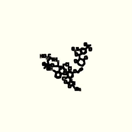 C#CCOc1cc(-n2nc(C(C)(C)C)oc2=O)c(Cl)cc1Cl.CCc1cccc(C)c1N(C(=O)CCl)C(C)COC.CP(=O)(O)CCC(N)C(=O)O.CS(=O)(=O)c1ccc(C(=O)C2C(=O)CCCC2=O)c([N+](=O)[O-])c1